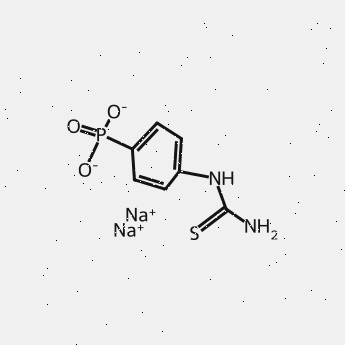 NC(=S)Nc1ccc(P(=O)([O-])[O-])cc1.[Na+].[Na+]